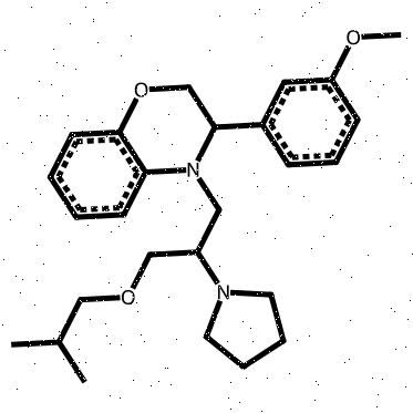 COc1cccc(C2COc3ccccc3N2CC(COCC(C)C)N2CCCC2)c1